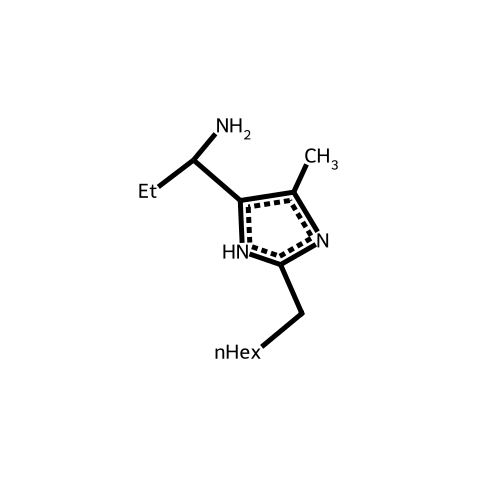 CCCCCCCc1nc(C)c(C(N)CC)[nH]1